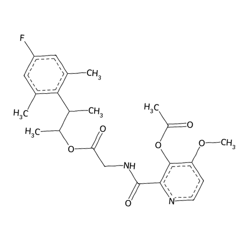 COc1ccnc(C(=O)NCC(=O)OC(C)C(C)c2c(C)cc(F)cc2C)c1OC(C)=O